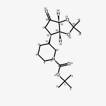 CC(C)(C)OC(=O)N1CCCC([C@H]2CC(=O)[C@@H]3OC(C)(C)O[C@H]23)C1